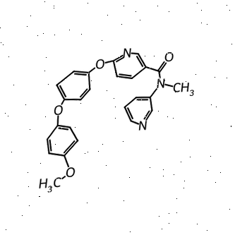 COc1ccc(Oc2ccc(Oc3ccc(C(=O)N(C)c4cccnc4)cn3)cc2)cc1